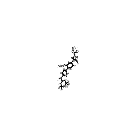 COc1cc(-c2cn(C(=O)OC(C)(C)C)nc2C)ccc1-c1ccc(N(C)C2CC(C)(C)NC(C)(C)C2)nn1